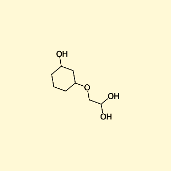 OC(O)COC1CCCC(O)C1